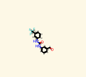 O=Cc1cccc(NC(=O)Nc2cccc(C(F)(F)F)c2)c1